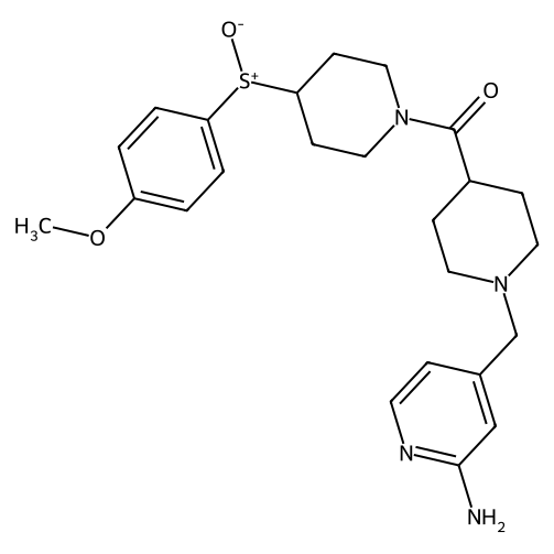 COc1ccc([S+]([O-])C2CCN(C(=O)C3CCN(Cc4ccnc(N)c4)CC3)CC2)cc1